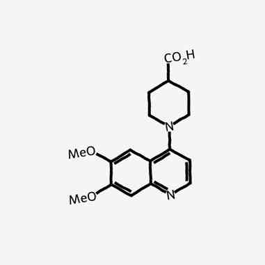 COc1cc2nccc(N3CCC(C(=O)O)CC3)c2cc1OC